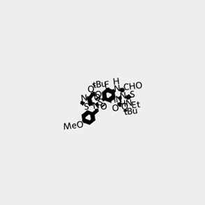 CCNC(=S)N(NC(=O)OC(C)(C)C)C(C=O)Nc1ccc(S(=O)(=O)N(Cc2ccc(OC)cc2)c2scnc2C(=O)OC(C)(C)C)cc1F